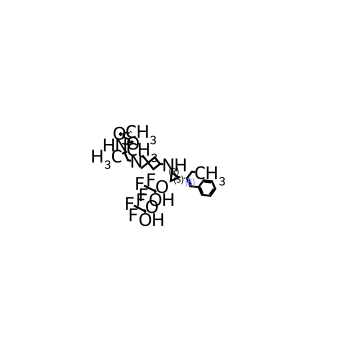 CC/C(=C\c1ccccc1)[C@@H]1C[C@H]1NC1CC2(C1)CN(CC(C)(C)NS(C)(=O)=O)C2.O=C(O)C(F)(F)F.O=C(O)C(F)(F)F